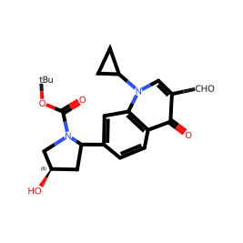 CC(C)(C)OC(=O)N1C[C@H](O)CC1c1ccc2c(=O)c(C=O)cn(C3CC3)c2c1